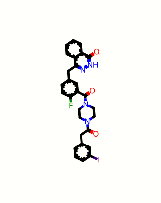 O=C(Cc1cccc(I)c1)N1CCN(C(=O)c2cc(Cc3n[nH]c(=O)c4ccccc34)ccc2F)CC1